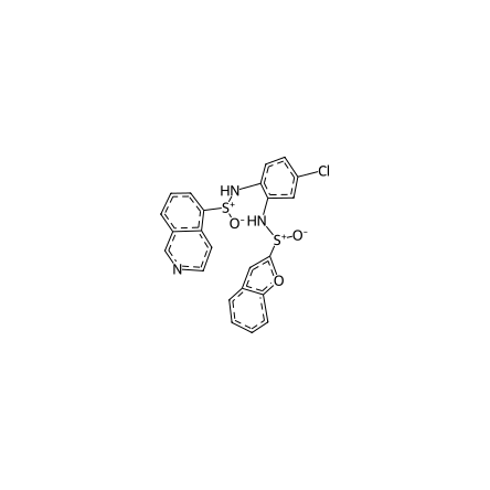 [O-][S+](Nc1cc(Cl)ccc1N[S+]([O-])c1cccc2cnccc12)c1cc2ccccc2o1